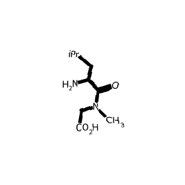 CC(C)CC(N)C(=O)N(C)CC(=O)O